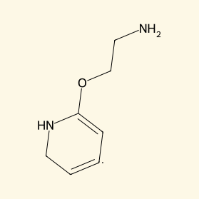 NCCOC1=C[C]=CCN1